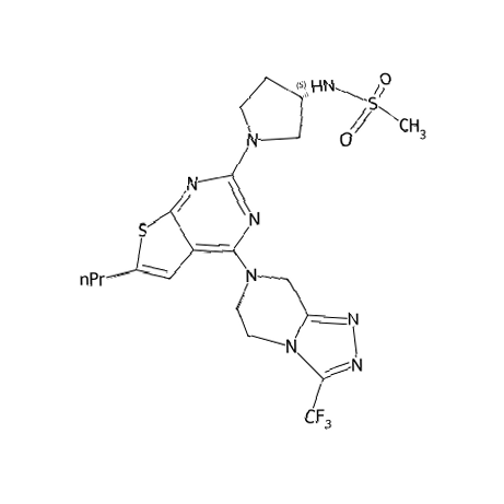 CCCc1cc2c(N3CCn4c(nnc4C(F)(F)F)C3)nc(N3CC[C@H](NS(C)(=O)=O)C3)nc2s1